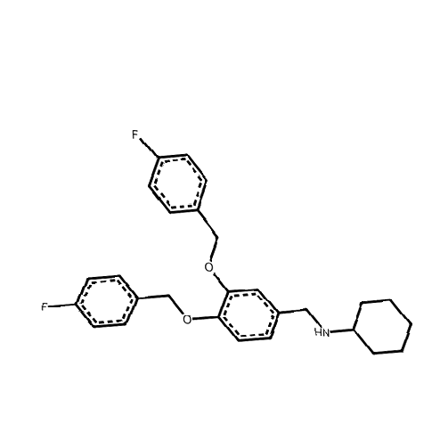 Fc1ccc(COc2ccc(CNC3CCCCC3)cc2OCc2ccc(F)cc2)cc1